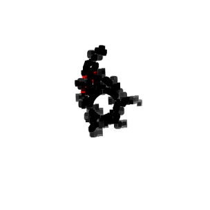 CC[C@H](C)[C@@H]1NC(=O)CNC(=O)[C@@H]2Cc3c([nH]c4c(CSC5CCN(C(=O)OC(C)(C)C)CC5)c(OC)ccc34)[S+]([O-])C[C@H](NC(=O)CNC1=O)C(=O)N[C@@H](CC(N)=O)C(=O)N1C[C@H](O)C[C@H]1C(=O)N[C@@H]([C@@H](C)[C@@H](O)CO)C(=O)N2